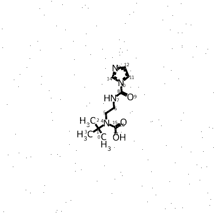 CC(C)(C)N(CCNC(=O)n1ccnc1)C(=O)O